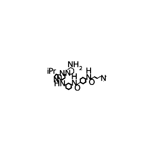 CC(C)c1cnn2c(Nc3cccc(NC(=O)c4ccc(NC(=O)/C=C/CN(C)C)cc4)c3)cc(N3CCCC(N)C3)nc12